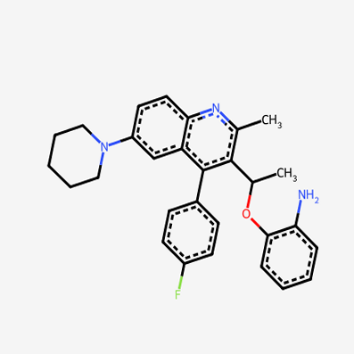 Cc1nc2ccc(N3CCCCC3)cc2c(-c2ccc(F)cc2)c1C(C)Oc1ccccc1N